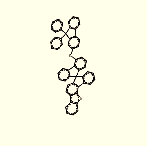 c1ccc(C2(c3ccccc3)c3ccccc3-c3ccc(Nc4cccc5c4-c4ccccc4C54c5ccccc5-c5c4ccc4c5sc5ccccc54)cc32)cc1